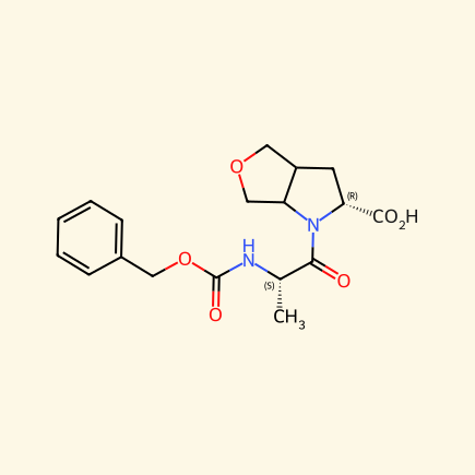 C[C@H](NC(=O)OCc1ccccc1)C(=O)N1C2COCC2C[C@@H]1C(=O)O